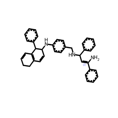 N/C(=C\C(NCc1ccc(NC2C=CC3=C(C=CCC3)C2c2ccccc2)cc1)c1ccccc1)c1ccccc1